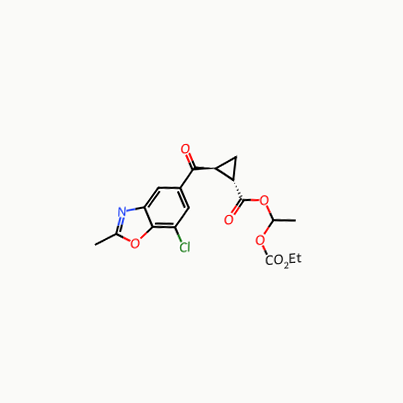 CCOC(=O)OC(C)OC(=O)[C@H]1C[C@@H]1C(=O)c1cc(Cl)c2oc(C)nc2c1